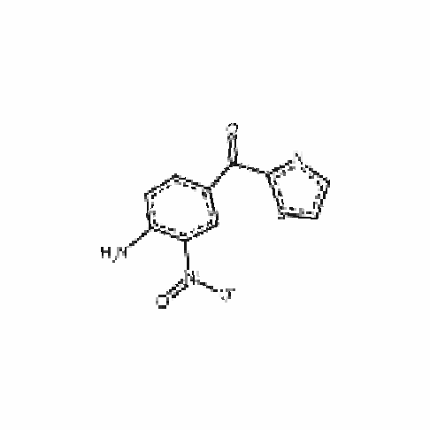 Nc1ccc(C(=O)c2nccs2)cc1[N+](=O)[O-]